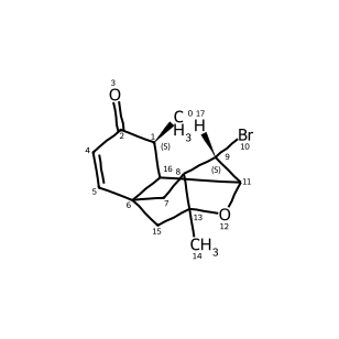 C[C@@H]1C(=O)C=CC23CC4[C@H](Br)C(OC4(C)C2)C13